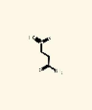 C#S(=S)CCC(N)=O